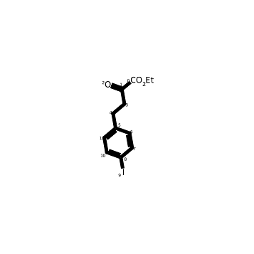 CCOC(=O)C(=O)CCc1ccc(I)cc1